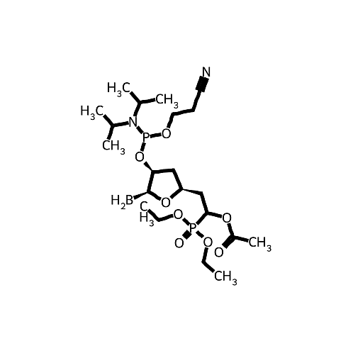 B[C@@H]1O[C@H](CC(OC(C)=O)P(=O)(OCC)OCC)C[C@@H]1OP(OCCC#N)N(C(C)C)C(C)C